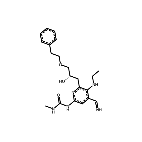 CCNc1c(C=N)cc(NC(=O)NC)nc1C[C@H](O)COCCc1ccccc1